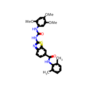 COc1cc(OC)c(OC)cc1NC(=O)Nc1nc2ccc(C(=O)Nc3c(C)cccc3C)cc2s1